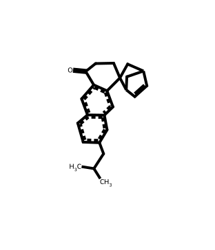 CC(C)Cc1ccc2cc3c(cc2c1)C1(CCC3=O)CC2C=CC1C2